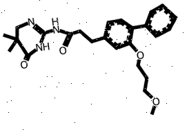 COCCCOc1cc(CCC(=O)NC2=NCC(C)(C)C(=O)N2)ccc1-c1ccccc1